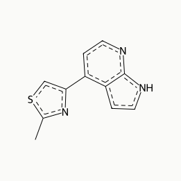 Cc1nc(-c2ccnc3[nH]ccc23)cs1